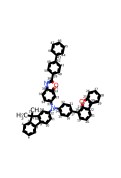 CC1(C)c2ccccc2-c2ccc(N(c3ccc(-c4cccc5c4oc4ccccc45)cc3)c3ccc4nc(-c5ccc(-c6ccccc6)cc5)oc4c3)cc21